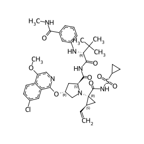 C=C[C@@H]1C[C@@]1(C(=O)NS(=O)(=O)C1CC1)N1C[C@H](Oc2ncc(OC)c3ccc(Cl)cc23)C[C@H]1C(=O)NC(=O)[C@H](Nc1cccc(C(=O)NC)c1)C(C)(C)C